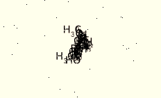 CCOc1ncc(F)c(NC(=O)c2cc(F)c(-n3nc(CO)n(CC)c3=O)nc2OCC(F)(F)F)n1